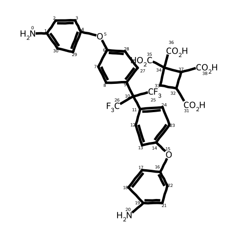 Nc1ccc(Oc2ccc(C(c3ccc(Oc4ccc(N)cc4)cc3)(C(F)(F)F)C(F)(F)F)cc2)cc1.O=C(O)C1CC(C(=O)O)(C(=O)O)C1C(=O)O